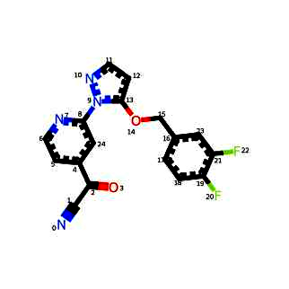 N#CC(=O)c1ccnc(-n2nccc2OCc2ccc(F)c(F)c2)c1